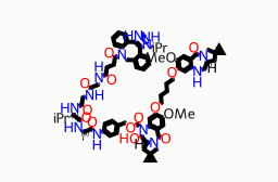 COc1cc2c(cc1OCCCCCOc1cc3c(cc1OC)C(=O)N1CC4(CC4)C[C@H]1C(O)N3C(=O)OCc1ccc(NC(=O)[C@H](C)NC(=O)[C@@H](NC(=O)CNC(=O)CNC(=O)CCC(=O)N3Cc4ccccc4C4=C(NNN4C(C)C)c4ccccc43)C(C)C)cc1)NC[C@@H]1CC3(CC3)CN1C2=O